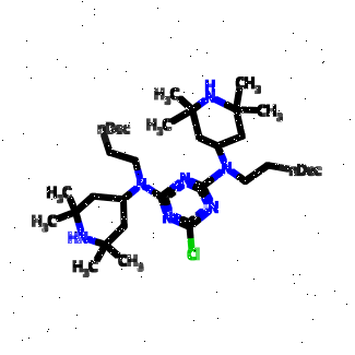 CCCCCCCCCCCCN(c1nc(Cl)nc(N(CCCCCCCCCCCC)C2CC(C)(C)NC(C)(C)C2)n1)C1CC(C)(C)NC(C)(C)C1